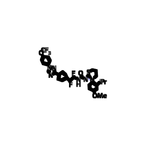 COc1ccc(N2CCCS/C2=N\C(=O)NC(F)C(F)c2ccc(-c3ncn(-c4ccc(OC(F)(F)F)cc4)n3)cc2)c(C(C)C)c1